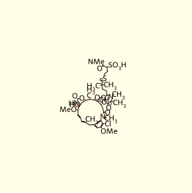 CNC(=O)C(CCSSC(C)(C)CCC(=O)N(C)C(C)C(=O)OC1CC(=O)N(C)c2cc(cc(OC)c2Cl)C/C(C)=C/C=C/C(OC)C2(O)CC(OC(=O)N2)C(C)C2OC12C)S(=O)(=O)O